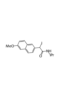 COc1ccc2cc(C(I)C(=O)NC(C)C)ccc2c1